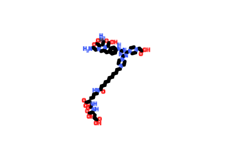 NCCN(CC(=O)O)CC(Cc1ccc(Nc2nc(N3CCN(CCCCCCCCCCC(=O)NCCCC[C@H](NC(=O)N[C@@H](CCC(=O)O)C(=O)O)C(=O)O)CC3)nc(N3CCN(CC(=O)O)CC3)n2)cc1)N(CCN)CC(=O)O